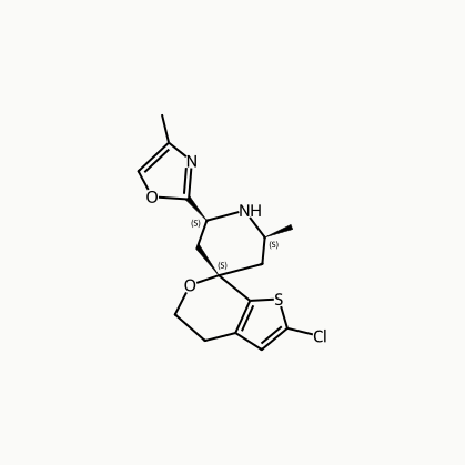 Cc1coc([C@@H]2C[C@]3(C[C@H](C)N2)OCCc2cc(Cl)sc23)n1